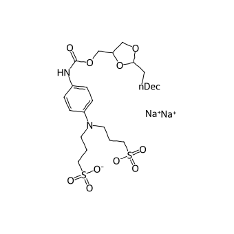 CCCCCCCCCCCC1OCC(COC(=O)Nc2ccc(N(CCCS(=O)(=O)[O-])CCCS(=O)(=O)[O-])cc2)O1.[Na+].[Na+]